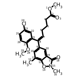 COC(=O)CCCC=C(c1cc(C)c2on(C)c(=O)c2c1)c1cc(Cl)ccc1OC